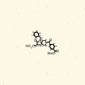 COC(=O)c1ccc(C(=O)N2CCC3(CC2)SC(CC(=O)O)C(=O)N3Cc2ccccc2)cc1